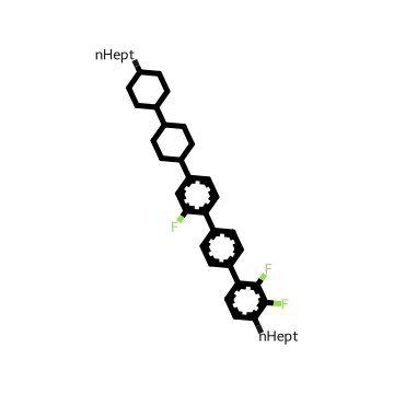 CCCCCCCc1ccc(-c2ccc(-c3ccc(C4CCC(C5CCC(CCCCCCC)CC5)CC4)cc3F)cc2)c(F)c1F